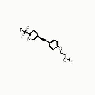 CCCOc1ccc(C#Cc2ccc(C(F)(F)F)nc2)cc1